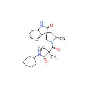 CC(C)(C(=O)NC1CCCCC1)C(=O)N1C[C@]2(C[C@H]1C#N)C(=O)Nc1ccccc12